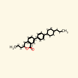 CCCC1CCC(c2ccc(-c3ccc4c(c3)C(=O)OC(CCC)C4)cc2)CC1